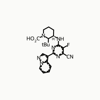 CC(C)(C)C1[C@H](Nc2nc(-c3cnn4ccccc34)nc(C#N)c2F)CCCN1C(=O)O